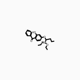 CCCC(Oc1ccc(C(=O)c2ccccc2)c(O)c1)[SiH](OCC)OCC